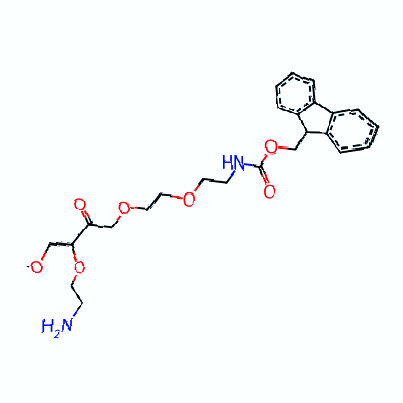 NCCOC(C[O])C(=O)COCCOCCNC(=O)OCC1c2ccccc2-c2ccccc21